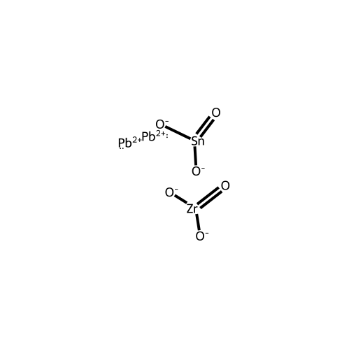 [O]=[Sn]([O-])[O-].[O]=[Zr]([O-])[O-].[Pb+2].[Pb+2]